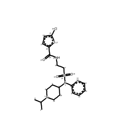 CC(C)N1CCC(N(c2ccccn2)S(=O)(=O)CCNC(=O)c2ccc(Cl)s2)CC1